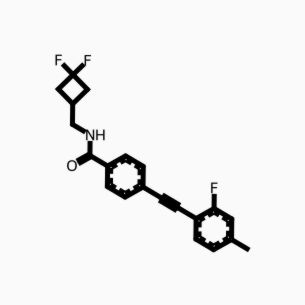 Cc1ccc(C#Cc2ccc(C(=O)NCC3CC(F)(F)C3)cc2)c(F)c1